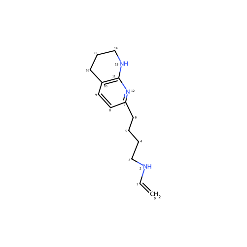 C=CNCCCCc1ccc2c(n1)NCCC2